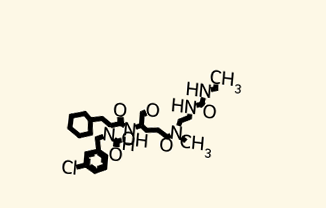 CCNC(=O)NCCN(C)C(=O)CCC(C=O)NC(=O)C(CC1CCCCC1)N(Cc1cccc(Cl)c1)C(=O)O